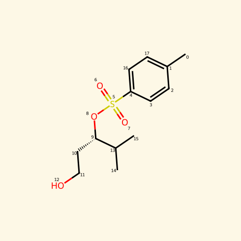 Cc1ccc(S(=O)(=O)O[C@@H](CCO)C(C)C)cc1